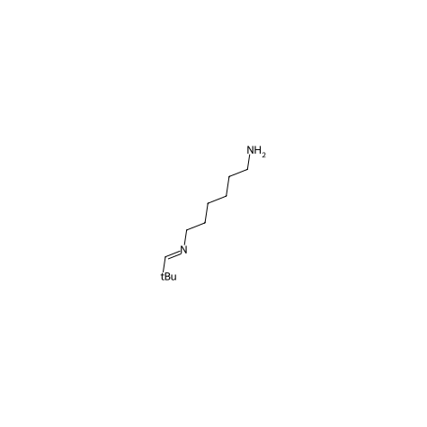 CC(C)(C)C=NCCCCCCN